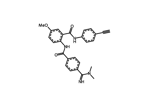 C#Cc1ccc(NC(=O)c2cc(OC)ccc2NC(=O)c2ccc(C(=N)N(C)C)cc2)cc1